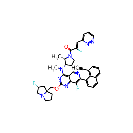 C#Cc1cccc2cccc(-c3ncc4c(N(C)[C@H]5CCN(C(=O)/C(F)=C/c6cccnn6)[C@H]5C)nc(OC[C@@]56CCCN5C[C@H](F)C6)nc4c3F)c12